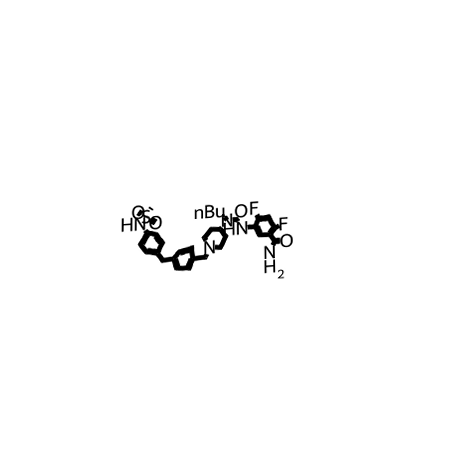 CCCCN(C(=O)Nc1cc(C(N)=O)c(F)cc1F)C1CCN(Cc2ccc(Cc3ccc(NS(C)(=O)=O)cc3)cc2)CC1